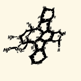 CO[C@@H]1[C@H](N)C[C@H]2O[C@]1(C)n1c3ccccc3c3c4c(c5c6ccccc6n2c5c31)CNC4=O